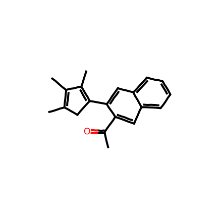 CC(=O)c1cc2ccccc2cc1C1=C(C)C(C)=C(C)C1